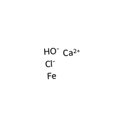 [Ca+2].[Cl-].[Fe].[OH-]